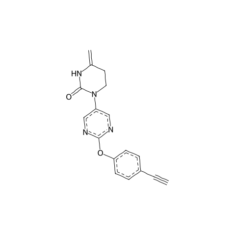 C#Cc1ccc(Oc2ncc(N3CCC(=C)NC3=O)cn2)cc1